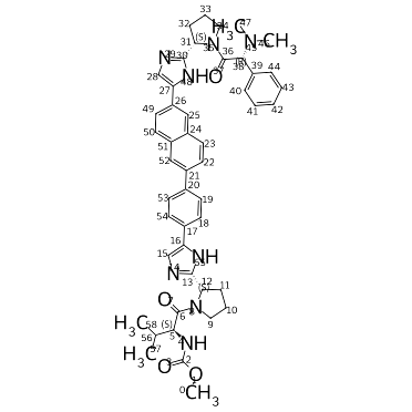 COC(=O)N[C@H](C(=O)N1CCC[C@H]1c1ncc(-c2ccc(-c3ccc4cc(-c5cnc([C@@H]6CCCN6C(=O)[C@@H](c6ccccc6)N(C)C)[nH]5)ccc4c3)cc2)[nH]1)C(C)C